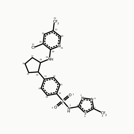 O=S(=O)(Nc1nnc(C(F)(F)F)s1)c1ccc(C2CCCC2Nc2ncc(C(F)(F)F)cc2Cl)cc1